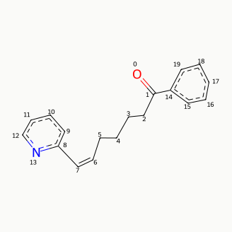 O=C(CCCC/C=C\c1ccccn1)c1ccccc1